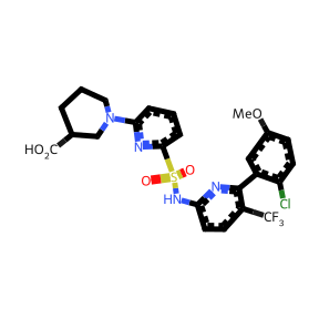 COc1ccc(Cl)c(-c2nc(NS(=O)(=O)c3cccc(N4CCCC(C(=O)O)C4)n3)ccc2C(F)(F)F)c1